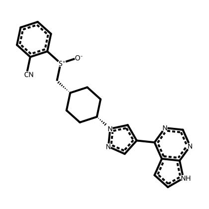 N#Cc1ccccc1[S+]([O-])C[C@H]1CC[C@@H](n2cc(-c3ncnc4[nH]ccc34)cn2)CC1